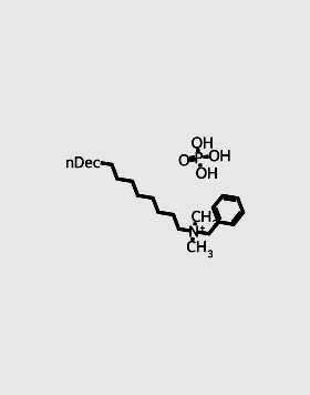 CCCCCCCCCCCCCCCCCC[N+](C)(C)Cc1ccccc1.O=P(O)(O)O